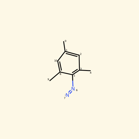 Cc1cc(C)c(N=[N])c(C)c1